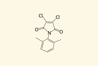 Cc1cccc(C)c1N1C(=O)C(Cl)=C(Cl)C1=O